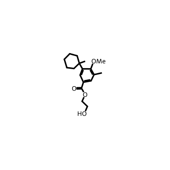 COc1c(C)cc(C(=O)OCCO)cc1C1(C)CCCCC1